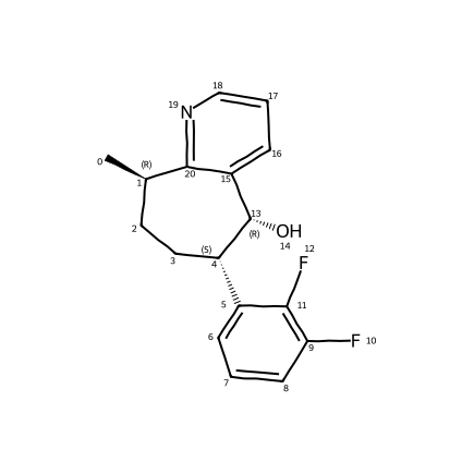 C[C@@H]1CC[C@@H](c2cccc(F)c2F)[C@@H](O)c2cccnc21